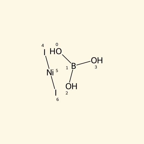 OB(O)O.[I][Ni][I]